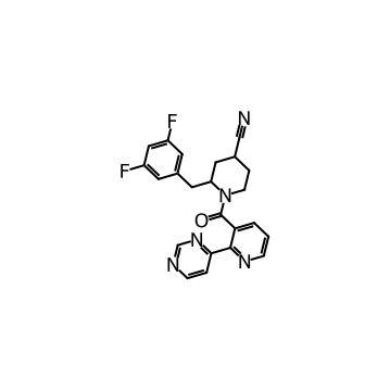 N#CC1CCN(C(=O)c2cccnc2-c2ccncn2)C(Cc2cc(F)cc(F)c2)C1